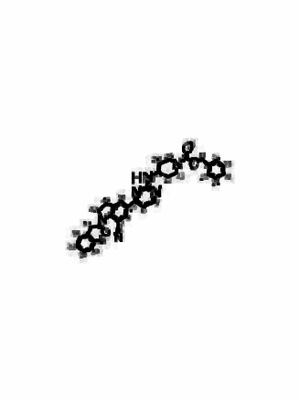 N#Cc1cc(-c2ccnc(NC3CCN(C(=O)OCc4ccccc4)CC3)n2)cc2c1N(C(=O)Cc1ccccc1F)CC2